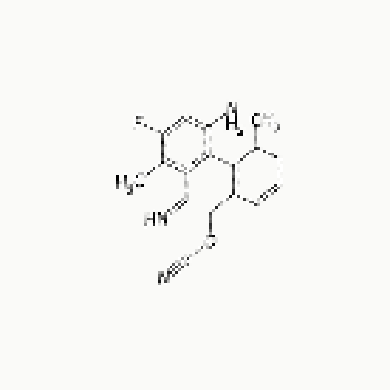 Cc1c(F)cc(N)c(C2=C(COC#N)C=CCC2C)c1C=N